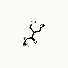 BNC(=O)C(CO)CO